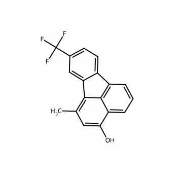 Cc1cc(O)c2cccc3c2c1-c1cc(C(F)(F)F)ccc1-3